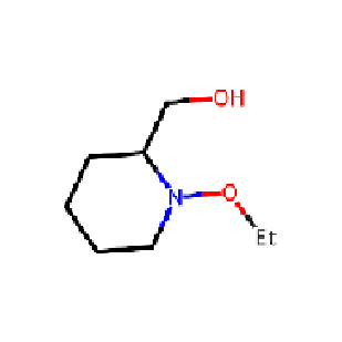 CCON1CCCCC1CO